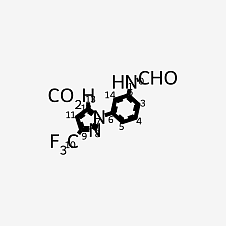 O=CNc1cccc(-n2nc(C(F)(F)F)cc2C(=O)O)c1